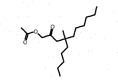 CCCCCCC(C)(CCCCC)CC(=O)COC(C)=O